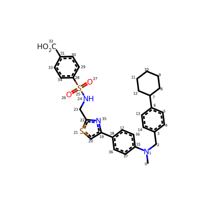 CN(Cc1ccc(C2CCCCC2)cc1)c1ccc(-c2csc(CNS(=O)(=O)c3ccc(C(=O)O)cc3)n2)cc1